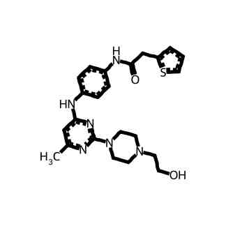 Cc1cc(Nc2ccc(NC(=O)Cc3cccs3)cc2)nc(N2CCN(CCO)CC2)n1